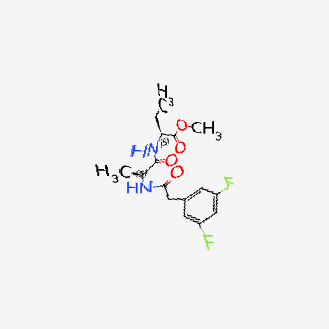 CC[C@H](NC(=O)[C@H](C)NC(=O)Cc1cc(F)cc(F)c1)C(=O)OC